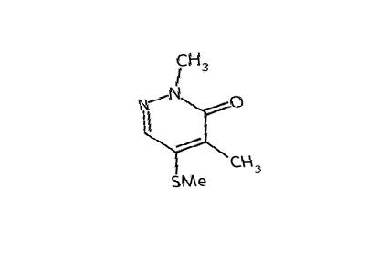 CSc1cnn(C)c(=O)c1C